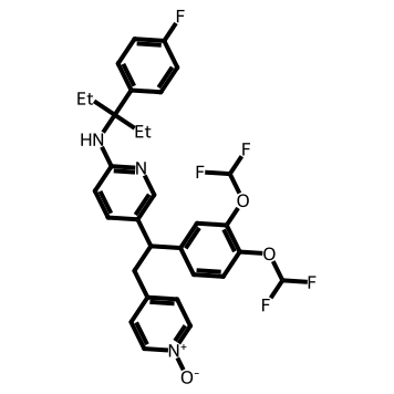 CCC(CC)(Nc1ccc(C(Cc2cc[n+]([O-])cc2)c2ccc(OC(F)F)c(OC(F)F)c2)cn1)c1ccc(F)cc1